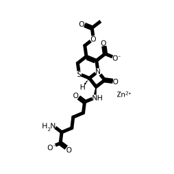 CC(=O)OCC1=C(C(=O)[O-])N2C(=O)[C@@H](NC(=O)CCCC(N)C(=O)[O-])[C@H]2SC1.[Zn+2]